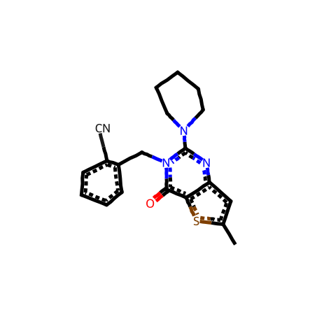 Cc1cc2nc(N3CCCCC3)n(Cc3ccccc3C#N)c(=O)c2s1